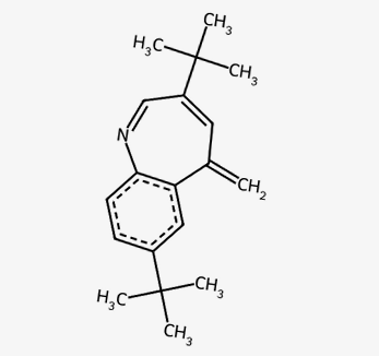 C=C1C=C(C(C)(C)C)C=Nc2ccc(C(C)(C)C)cc21